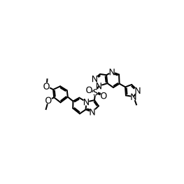 COc1ccc(-c2ccc3ncc(S(=O)(=O)n4ncc5ncc(-c6cnn(C)c6)cc54)n3c2)cc1OC